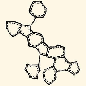 c1ccc(-n2c3ccccc3c3cc4c(cc32)c2ccc3c(c5ncccc5c5nccn35)c2n4-c2ccccc2)cc1